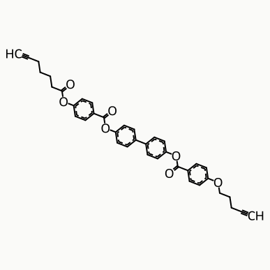 C#CCCCCC(=O)Oc1ccc(C(=O)Oc2ccc(-c3ccc(OC(=O)c4ccc(OCCCC#C)cc4)cc3)cc2)cc1